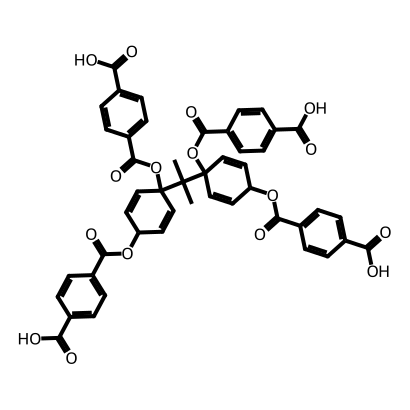 CC(C)(C1(OC(=O)c2ccc(C(=O)O)cc2)C=CC(OC(=O)c2ccc(C(=O)O)cc2)C=C1)C1(OC(=O)c2ccc(C(=O)O)cc2)C=CC(OC(=O)c2ccc(C(=O)O)cc2)C=C1